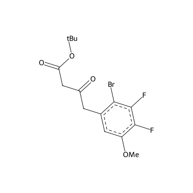 COc1cc(CC(=O)CC(=O)OC(C)(C)C)c(Br)c(F)c1F